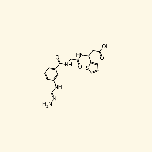 NN=CNc1cccc(C(=O)NCC(=O)NC(CC(=O)O)c2cccs2)c1